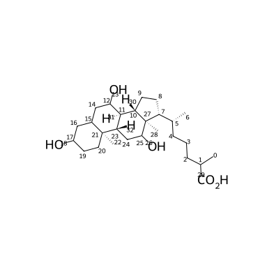 CC(CCC[C@@H](C)[C@H]1CC[C@H]2[C@@H]3C(O)CC4CC(O)CC[C@]4(C)[C@H]3CC(O)[C@]12C)C(=O)O